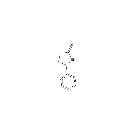 O=C1CCN(c2cc[c]cc2)N1